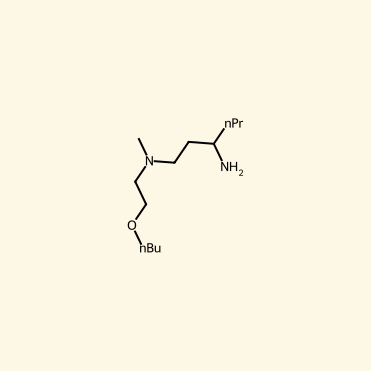 CCCCOCCN(C)CCC(N)CCC